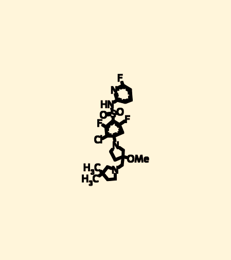 COC1(CN2CCC(C)(C)C2)CCN(c2cc(F)c(S(=O)(=O)Nc3cccc(F)n3)c(F)c2Cl)C1